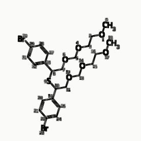 COCCOCOCC(SC(COCOCCOC)c1ccc(Br)cc1)c1ccc(Br)cc1